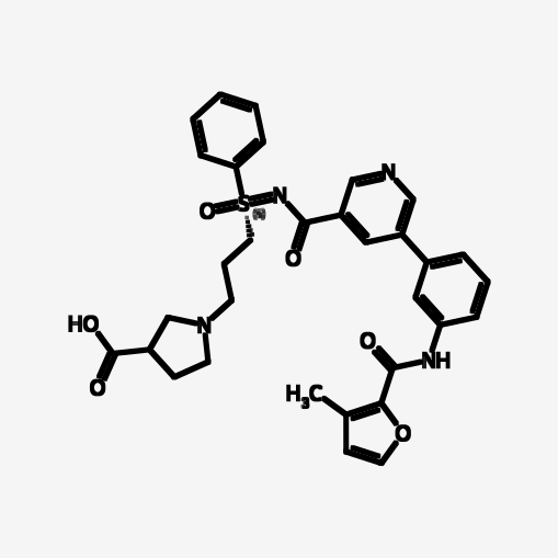 Cc1ccoc1C(=O)Nc1cccc(-c2cncc(C(=O)N=[S@](=O)(CCCN3CCC(C(=O)O)C3)c3ccccc3)c2)c1